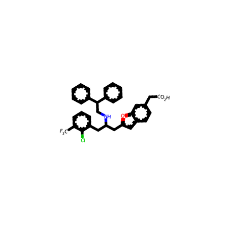 O=C(O)Cc1ccc2cc(CC(Cc3cccc(C(F)(F)F)c3Cl)NCC(c3ccccc3)c3ccccc3)oc2c1